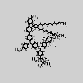 CCCCCCCCCCCCC1(CCCCCCCCCCCC)c2cc(C)ccc2-c2ccc(-c3ccc(N(c4ccc(C)cc4)c4ccc(N(c5ccc(C(C)(C)CC(C)(C)C)cc5)c5ccc(C(C)(C)CC(C)(C)C)cc5)cc4)cc3)cc21